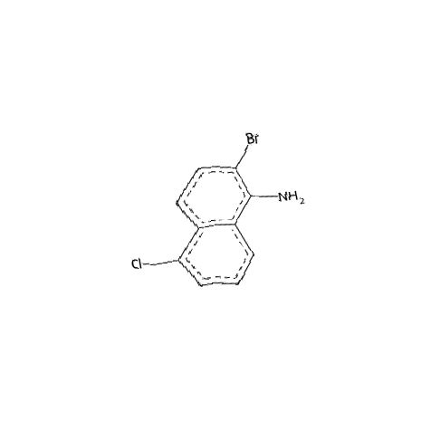 Nc1c(Br)ccc2c(Cl)cccc12